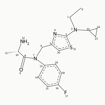 CCN(c1nc(CN(C(=O)[C@H](C)N)c2ccc(F)cc2)cs1)C1CC1